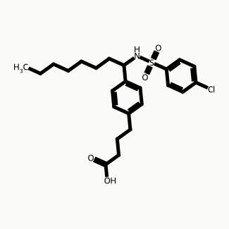 CCCCCCCC(NS(=O)(=O)c1ccc(Cl)cc1)c1ccc(CCCC(=O)O)cc1